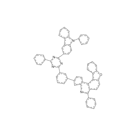 c1ccc(-c2nc(-c3cccc(-c4ccc5c(c4)nc(-c4ccccc4)c4ccc6oc7ccccc7c6c45)c3)nc(-c3ccc4c(c3)c3ccccc3n4-c3ccccc3)n2)cc1